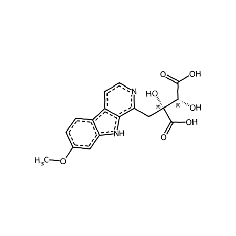 COc1ccc2c(c1)[nH]c1c(C[C@](O)(C(=O)O)[C@@H](O)C(=O)O)nccc12